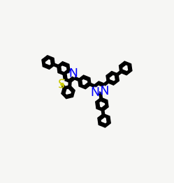 c1ccc(-c2ccc(-c3cc(-c4ccc(-c5nc6ccc(-c7ccccc7)cc6c6sc7ccccc7c56)cc4)nc(-c4ccc(-c5ccccc5)cc4)n3)cc2)cc1